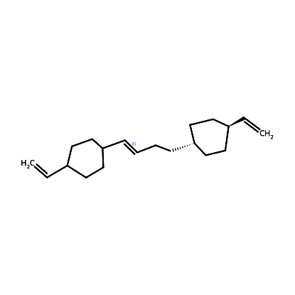 C=CC1CCC(/C=C/CC[C@H]2CC[C@H](C=C)CC2)CC1